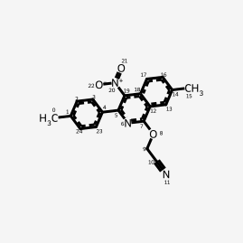 Cc1ccc(-c2nc(OCC#N)c3cc(C)ccc3c2[N+](=O)[O-])cc1